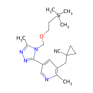 Cc1ncc(-c2nnc(C)n2COCC[Si](C)(C)C)cc1CC1(C#N)CC1